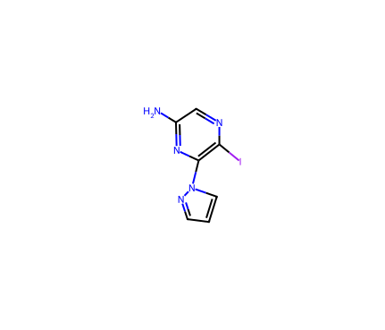 Nc1cnc(I)c(-n2cccn2)n1